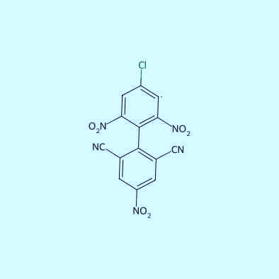 N#Cc1cc([N+](=O)[O-])cc(C#N)c1-c1c([N+](=O)[O-])[c]c(Cl)cc1[N+](=O)[O-]